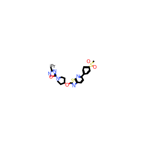 CC(C)c1noc(N2CCC(Oc3nc4ccc(-c5ccc(S(C)(=O)=O)cc5)nc4s3)CC2)n1